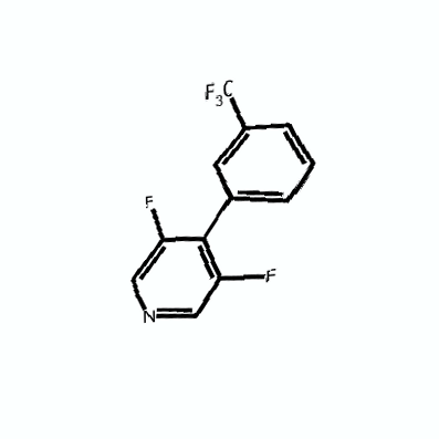 Fc1cncc(F)c1-c1cccc(C(F)(F)F)c1